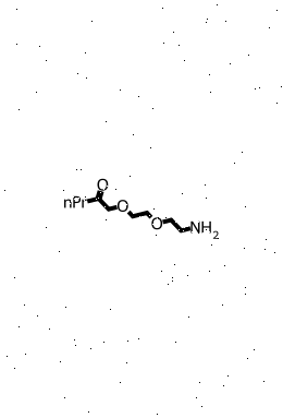 CCCC(=O)COCCOCCN